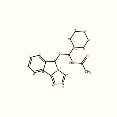 CC(=O)NC(CC1c2ccccc2-c2cncn21)C1CCCCC1